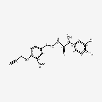 C#CCOc1ccc(CONC(=O)C(O)c2ccc(Cl)c(Cl)c2)cc1OC